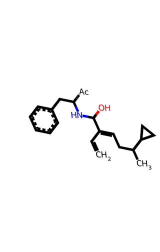 C=C/C(=C\CC(C)C1CC1)C(O)NC(Cc1ccccc1)C(C)=O